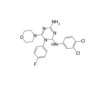 NC1=NC(Nc2ccc(Cl)c(Cl)c2)N(c2ccc(F)cc2)C(N2CCOCC2)=N1